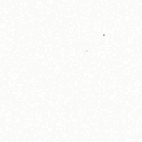 Cc1cc(C)c2cc(C(=O)N[C@H]3CCNC3)[nH]c2c1C.O=C(O)C(F)(F)F